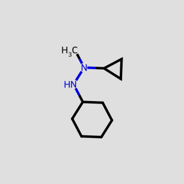 CN(NC1CCCCC1)C1CC1